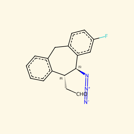 [N-]=[N+]=N[C@@H]1c2cc(F)ccc2Cc2ccccc2[C@H]1CC=O